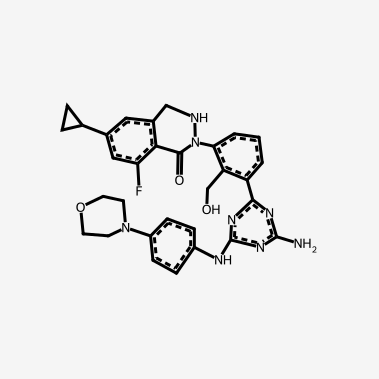 Nc1nc(Nc2ccc(N3CCOCC3)cc2)nc(-c2cccc(N3NCc4cc(C5CC5)cc(F)c4C3=O)c2CO)n1